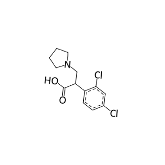 O=C(O)C(CN1CCCC1)c1ccc(Cl)cc1Cl